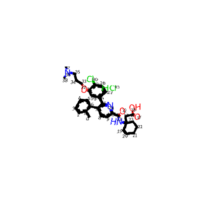 Cc1ccccc1-c1ccc(C(=O)NC2(CC(=O)O)CCCCC2)nc1-c1ccc(Cl)c(OCCCN(C)C)c1.Cl